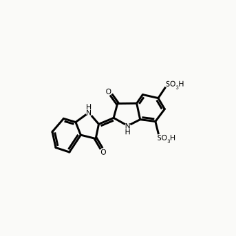 O=C1/C(=C2\Nc3c(cc(S(=O)(=O)O)cc3S(=O)(=O)O)C2=O)Nc2ccccc21